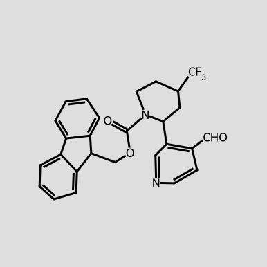 O=Cc1ccncc1C1CC(C(F)(F)F)CCN1C(=O)OCC1c2ccccc2-c2ccccc21